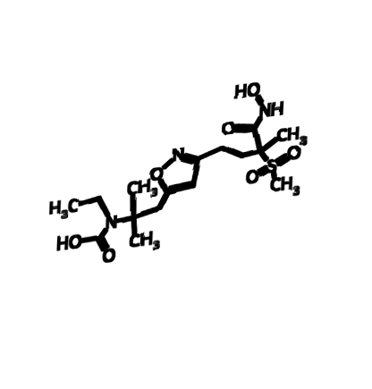 CCN(C(=O)O)C(C)(C)Cc1cc(CCC(C)(C(=O)NO)S(C)(=O)=O)no1